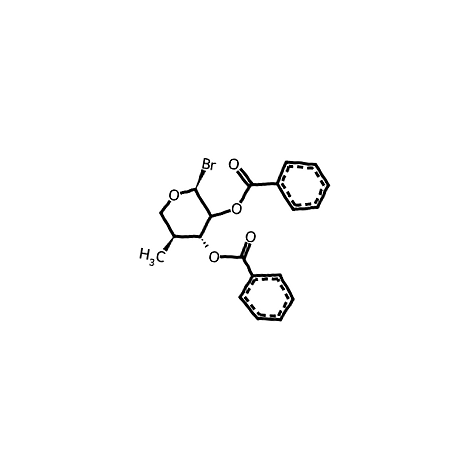 C[C@H]1CO[C@@H](Br)C(OC(=O)c2ccccc2)[C@@H]1OC(=O)c1ccccc1